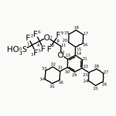 O=S(=O)(O)C(F)(F)C(F)(F)OC(F)(F)COc1c(C2CCCCC2)cc(C2CCCCC2)cc1C1CCCCC1